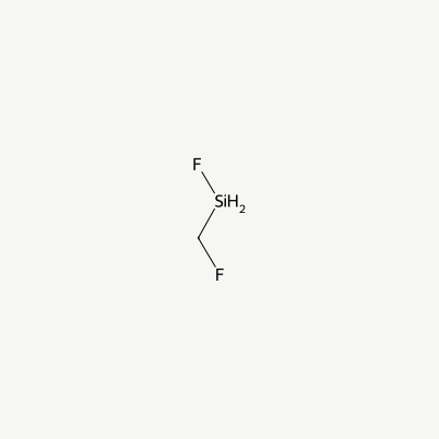 FC[SiH2]F